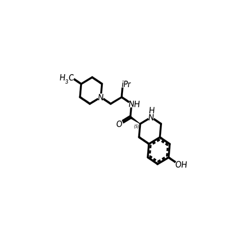 CC1CCN(CC(NC(=O)[C@@H]2Cc3ccc(O)cc3CN2)C(C)C)CC1